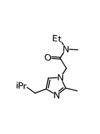 CCN(C)C(=O)Cn1cc(CC(C)C)nc1C